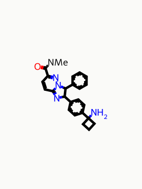 CNC(=O)C1=NN2C(=NC(c3ccc(C4(N)CCC4)cc3)C2c2ccccc2)C=C1